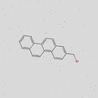 BrCc1ccc2c(ccc3c4ccccc4ccc23)c1